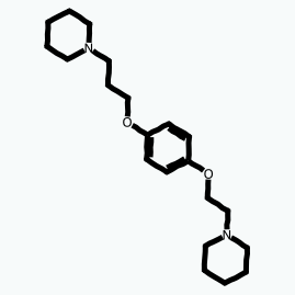 c1cc(OCCN2CCCCC2)ccc1OCCCN1CCCCC1